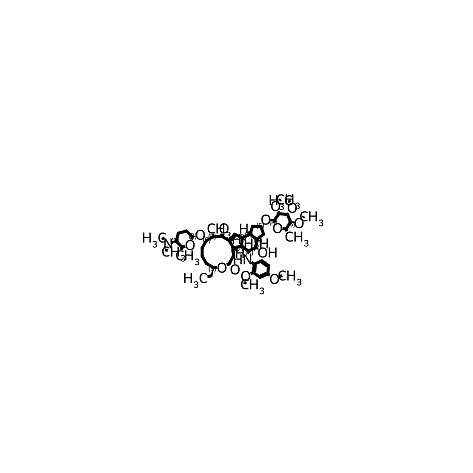 CC[C@H]1CCC[C@H](O[C@H]2CC[C@H](N(C)C)C(C)O2)[C@@H](C)C(=O)C2=C[C@H]3[C@@H]4C[C@H](O[C@@H]5OC(C)[C@H](OC)C(OC)C5OC)C[C@H]4[C@@H](O)[C@H](Nc4ccc(OC)cc4OC)[C@H]3[C@@H]2CC(=O)O1